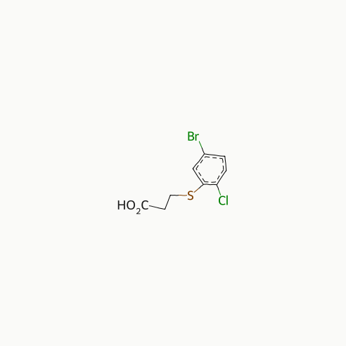 O=C(O)CCSc1cc(Br)ccc1Cl